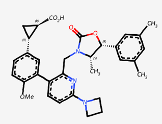 COc1ccc([C@@H]2C[C@H]2C(=O)O)cc1-c1ccc(N2CCC2)nc1CN1C(=O)O[C@H](c2cc(C)cc(C)c2)[C@@H]1C